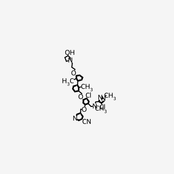 Cc1c(COc2cc(OCc3cncc(C#N)c3)c(CN(C)Cc3nn(C)cc3Cl)cc2Cl)cccc1-c1cccc(OCCCN2CCC(O)C2)c1C